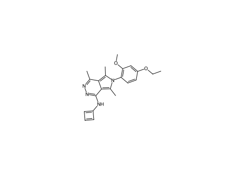 CCOc1ccc(-n2c(C)c3c(C)nnc(NC4=CC=C4)c3c2C)c(OC)c1